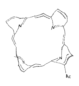 CC(=O)C1=CC2=CC3=NC(=CC4=NC(=CC5=NC(=CC1=N2)C=C5)C=C4)C=C3